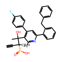 C#CC(C(=O)O)([PH](=O)O)C(C)(O)c1c(-c2ccc(F)cc2)cc(-c2ccccc2Cc2ccccc2)nc1C(C)C